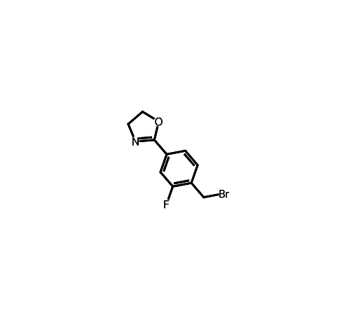 Fc1cc(C2=NCCO2)ccc1CBr